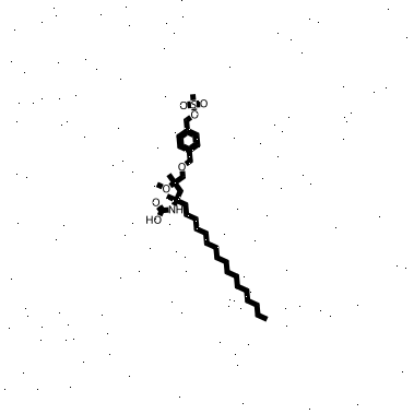 CCCCCCCCCCCCCCCCCC(C)(CC(C)(COCc1ccc(COS(C)(=O)=O)cc1)OC)NC(=O)O